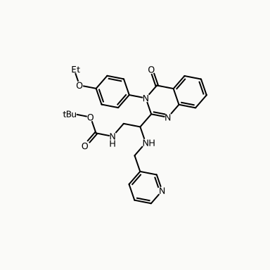 CCOc1ccc(-n2c(C(CNC(=O)OC(C)(C)C)NCc3cccnc3)nc3ccccc3c2=O)cc1